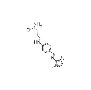 Cn1cc[n+](C)c1/N=N/c1ccc(NCCCC(N)Cl)cc1